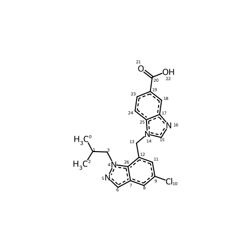 CC(C)Cn1ncc2cc(Cl)cc(Cn3cnc4cc(C(=O)O)ccc43)c21